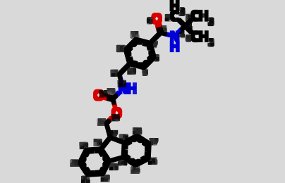 CC(C)(C)NC(=O)c1ccc(CNC(=O)OCC2c3ccccc3-c3ccccc32)cc1